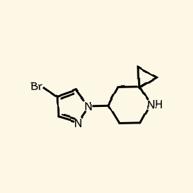 Brc1cnn(C2CCNC3(CC3)C2)c1